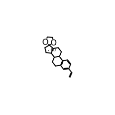 C=Cc1ccc2c(c1)CCC1C2CC[C@@]2(C)C1CCC21OCCO1